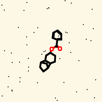 O=C(OC1CCC2C3CCC(C3)C2C1)c1ccccc1